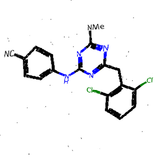 CNc1nc(Cc2c(Cl)cccc2Cl)nc(Nc2ccc(C#N)cc2)n1